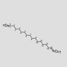 CCCCCCCCCCCCCCCCCCCCCCCCSCCCCCCCC